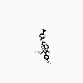 CN(C(=O)O)C(C(=O)N1CCN2C[C@H](Oc3cnc(C4CC4)cn3)C[C@H]2C1)c1ccc(C(F)(F)F)cc1